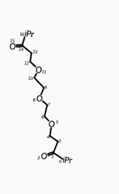 CC(C)C(=O)CCOCCOCCOCCC(=O)C(C)C